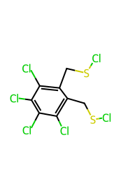 ClSCc1c(Cl)c(Cl)c(Cl)c(Cl)c1CSCl